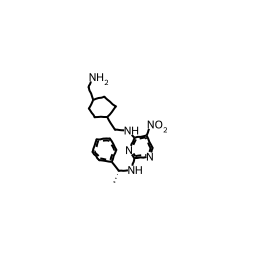 C[C@@H](Nc1ncc([N+](=O)[O-])c(NCC2CCC(CN)CC2)n1)c1ccccc1